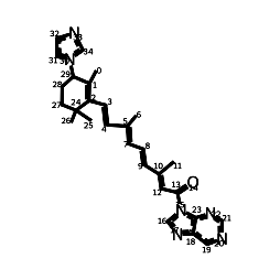 CC1=C(/C=C/C(C)=C/C=C/C(C)=C/C(=O)n2cnc3cncnc32)C(C)(C)CCC1n1ccnc1